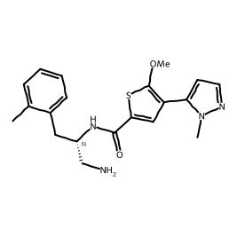 COc1sc(C(=O)N[C@H](CN)Cc2ccccc2C)cc1-c1ccnn1C